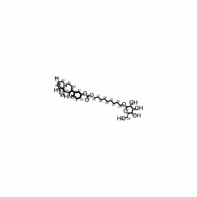 CC[C@H]1C[C@H]2C[C@H]3c4[nH]c5ccc(OC(=O)OCCCCCCCCCOC6O[C@H](CO)[C@@H](O)[C@H](O)[C@H]6O)cc5c4CCN(C2)C13